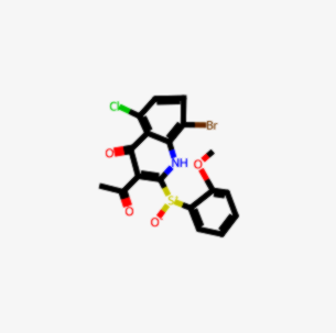 COc1ccccc1[S+]([O-])c1[nH]c2c(Br)ccc(Cl)c2c(=O)c1C(C)=O